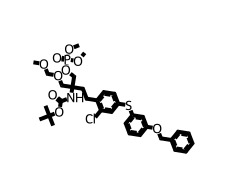 COCOCC(CCc1ccc(Sc2cccc(OCc3ccccc3)c2)cc1Cl)(COP(=O)(OC)OC)NC(=O)OC(C)(C)C